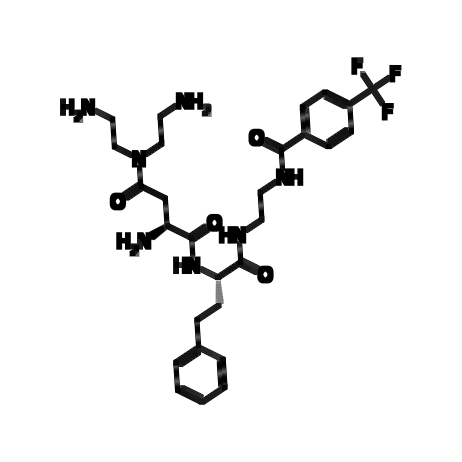 NCCN(CCN)C(=O)C[C@H](N)C(=O)N[C@@H](CCc1ccccc1)C(=O)NCCNC(=O)c1ccc(C(F)(F)F)cc1